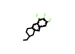 CCC1CCc2cc3c(F)c(F)c(F)cc3cc2C1